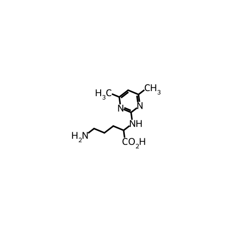 Cc1cc(C)nc(NC(CCCN)C(=O)O)n1